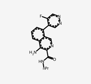 CCCNC(=O)c1ncc2c(-c3cnncc3F)cccc2c1N